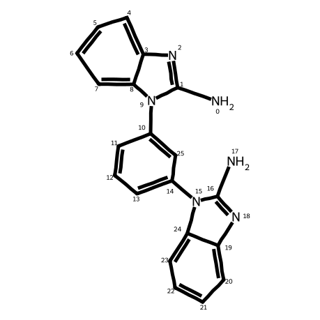 Nc1nc2ccccc2n1-c1cccc(-n2c(N)nc3ccccc32)c1